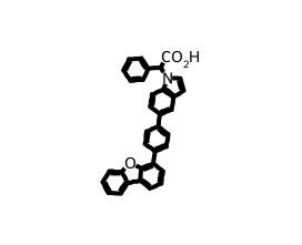 O=C(O)C(c1ccccc1)n1ccc2cc(-c3ccc(-c4cccc5c4oc4ccccc45)cc3)ccc21